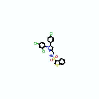 O=S(=O)(NCC1=NN(c2ccc(Cl)cc2Cl)C(C2C=CC(Cl)=CC2)C1)c1csc2ccccc12